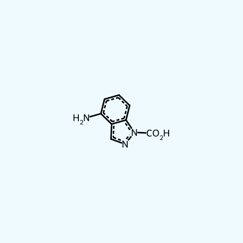 Nc1cccc2c1cnn2C(=O)O